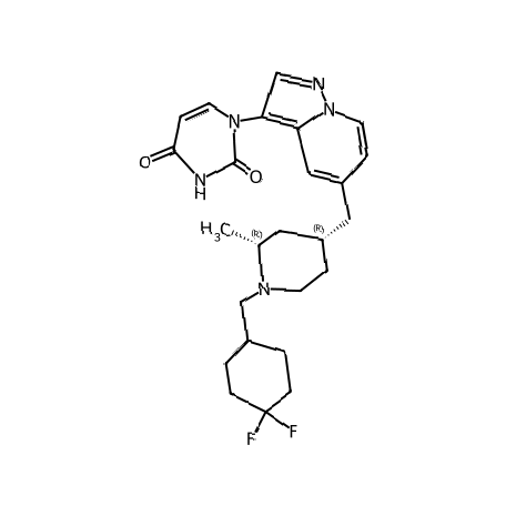 C[C@@H]1C[C@H](Cc2ccn3ncc(-n4ccc(=O)[nH]c4=O)c3c2)CCN1CC1CCC(F)(F)CC1